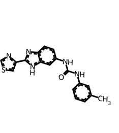 Cc1cccc(NC(=O)Nc2ccc3nc(-c4cscn4)[nH]c3c2)c1